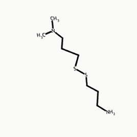 CN(C)CCCSSCCCN